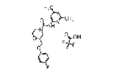 Cc1cc(C)nc(NC(=O)N2CCOC(COc3ccc(F)cc3)C2)c1.O=C(O)C(F)(F)F